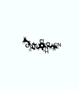 Cc1c(CN2CCN(C(=O)CC3CC3)[C@@H](C)C2)cc(Cl)cc1NC(=O)CCC(C)(C)C#N